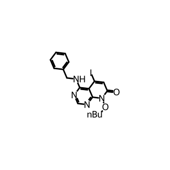 CCCCOn1c(=O)cc(I)c2c(NCc3ccccc3)ncnc21